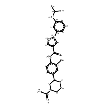 O=C(Nc1ccc(C2CN(C(=O)O)CCO2)cc1F)c1cnn(-c2cccc(OC(F)F)c2)c1